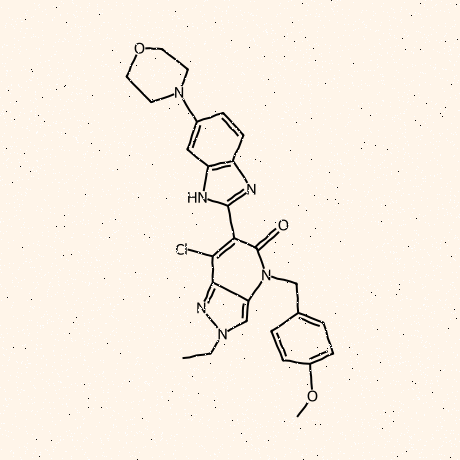 CCn1cc2c(n1)c(Cl)c(-c1nc3ccc(N4CCOCC4)cc3[nH]1)c(=O)n2Cc1ccc(OC)cc1